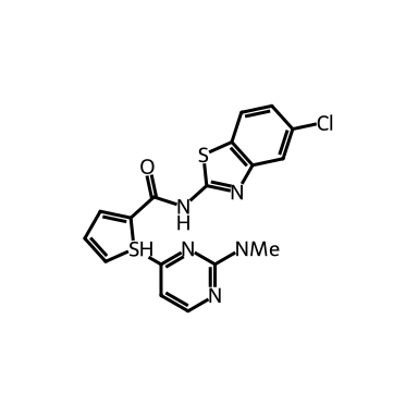 CNc1nccc([SH]2C=CC=C2C(=O)Nc2nc3cc(Cl)ccc3s2)n1